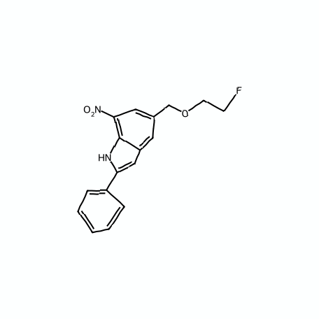 O=[N+]([O-])c1cc(COCCF)cc2cc(-c3ccccc3)[nH]c12